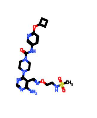 CS(=O)(=O)NCCO/N=C/c1c(N)ncnc1N1CCN(C(=O)Nc2ccc(OC3CCC3)nc2)CC1